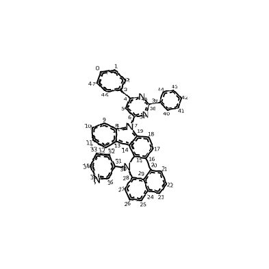 c1ccc(-c2cc(-n3c4ccccc4c4c5c(ccc43)-c3cccc4cccc(c34)N5c3cccnc3)nc(-c3ccccc3)n2)cc1